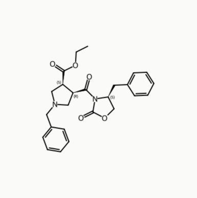 CCOC(=O)[C@@H]1CN(Cc2ccccc2)C[C@@H]1C(=O)N1C(=O)OC[C@@H]1Cc1ccccc1